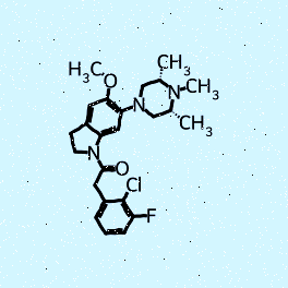 COc1cc2c(cc1N1C[C@@H](C)N(C)[C@@H](C)C1)N(C(=O)Cc1cccc(F)c1Cl)CC2